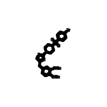 COc1ccc(Cc2csc(N3CCC(S(=O)(=O)c4ccc(Br)cc4)CC3)n2)cc1OC